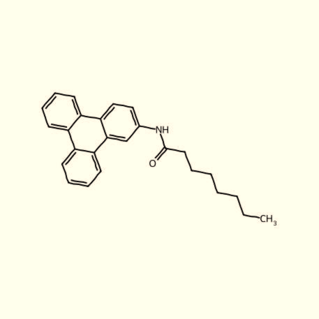 CCCCCCCC(=O)Nc1ccc2c3ccccc3c3ccccc3c2c1